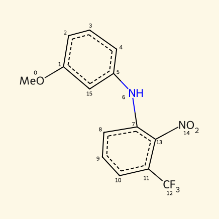 COc1cccc(Nc2cccc(C(F)(F)F)c2[N+](=O)[O-])c1